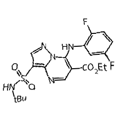 CCOC(=O)c1cnc2c(S(=O)(=O)NC(C)(C)C)cnn2c1Nc1cc(F)ccc1F